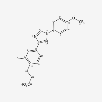 Cc1cc(-c2ncn(-c3ccc(OC(F)(F)F)cc3)n2)ccc1CCC(=O)O